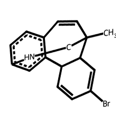 CC12C=Cc3ccc(cc3C3C=CC(Br)=CC31)NC2